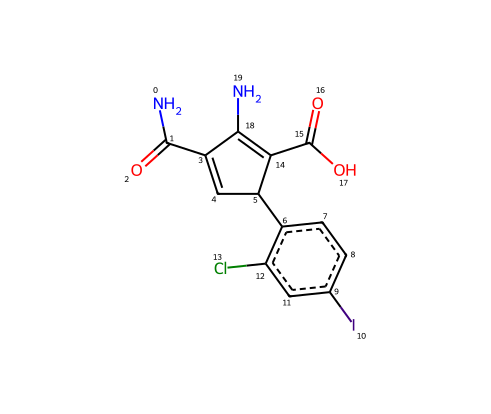 NC(=O)C1=CC(c2ccc(I)cc2Cl)C(C(=O)O)=C1N